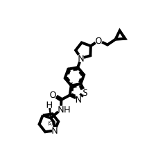 O=C(N[C@@H]1CN2CCC1CC2)c1nsc2cc(N3CCC(OCC4CC4)C3)ccc12